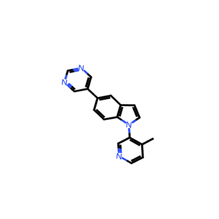 Cc1ccncc1-n1ccc2cc(-c3cncnc3)ccc21